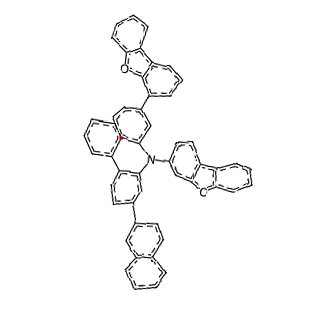 c1ccc(-c2ccc(-c3ccc4ccccc4c3)cc2N(c2cccc(-c3cccc4c3oc3ccccc34)c2)c2ccc3c(c2)oc2ccccc23)cc1